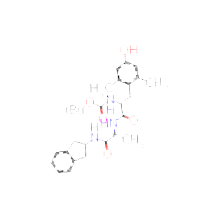 Cc1cc(O)cc(C)c1CC(NC(=O)OC(C)(C)C)C(=O)N[C@H](C)C(=O)NC1Cc2ccccc2C1